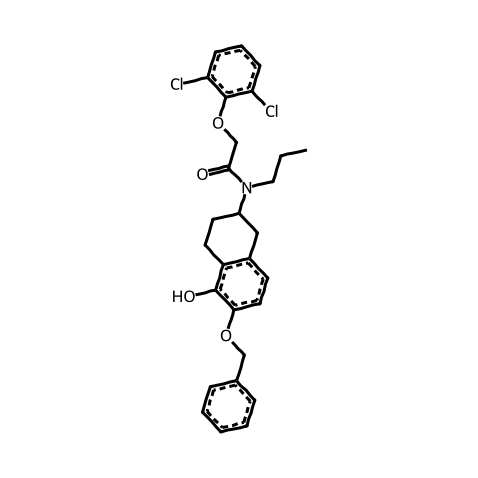 CCCN(C(=O)COc1c(Cl)cccc1Cl)C1CCc2c(ccc(OCc3ccccc3)c2O)C1